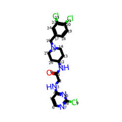 O=C(CNc1ccnc(Cl)n1)NC1CCN(Cc2ccc(Cl)c(Cl)c2)CC1